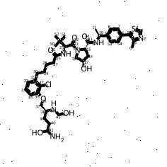 Cc1ncsc1-c1ccc([C@H](C)NC(=O)[C@@H]2C[C@@H](O)CN2C(=O)[C@@H](NC(=O)CCCCc2cccc(OC[C@H](CCC(N)O)NCO)c2Cl)C(C)(C)C)cc1